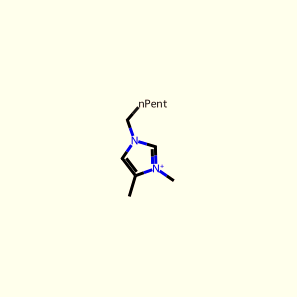 CCCCCCn1cc(C)[n+](C)c1